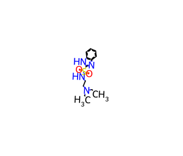 CCN(CC)CCNS(=O)(=O)c1nc2ccccc2[nH]1